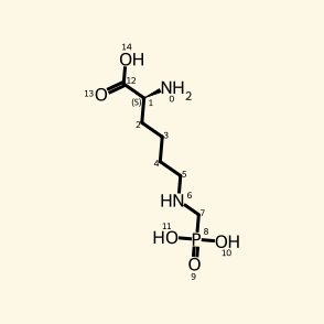 N[C@@H](CCCCNCP(=O)(O)O)C(=O)O